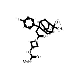 CNC(=O)OC1CN(C(=O)CC2(c3ccc(F)cc3)C3CC4CC2CC(C3)C4(C)C)C1